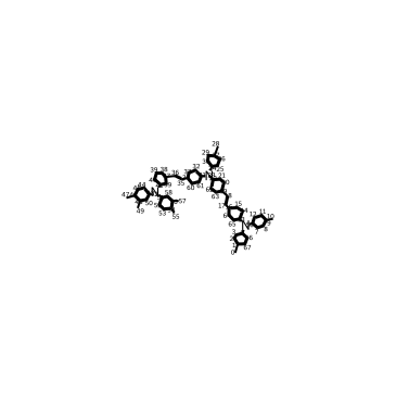 Cc1ccc(N(c2ccc(C)cc2)c2ccc(/C=C/c3ccc(N(c4ccc(C)cc4)c4ccc(/C=C/c5cccc(N(c6ccc(C)c(C)c6)c6ccc(C)c(C)c6)c5)cc4)cc3)cc2)cc1